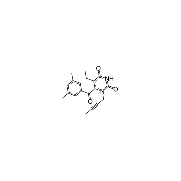 CC#CCn1c(C(=O)c2cc(C)cc(C)c2)c(CC)c(=O)[nH]c1=O